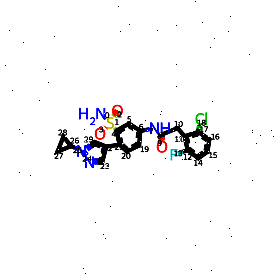 NS(=O)(=O)c1cc(NC(=O)Cc2c(F)cccc2Cl)ccc1-c1cnn(C2CC2)c1